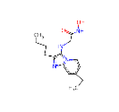 CCCCc1nc2cc(CC)ccn2c1NCC(=O)NO